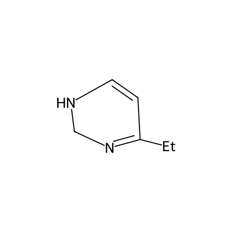 CCC1=NCNC=C1